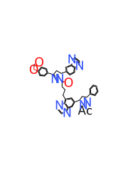 CC(=O)N1N=C(c2ccccc2)CC1c1cc(CCCC(=O)N2N=C(c3ccc4c(c3)OCO4)CC2c2ccc3nccnc3c2)c2nccnc2c1